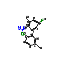 Cc1ccc(Cl)c(-c2cc(F)cc(C)c2N)c1